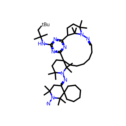 CC(C)(C)CC(C)(C)Nc1nc2nc(n1)C1(CCCCC/C=N\N3C(C)(C)CCC2C3(C)C)CCC(C)(C)N(N=C2CC(C)(C)N([N])C(C)(C)C23CCCCCC3)C1(C)C